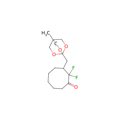 CC12COC(CC3CCCCCC(=O)C3(F)F)(OC1)OC2